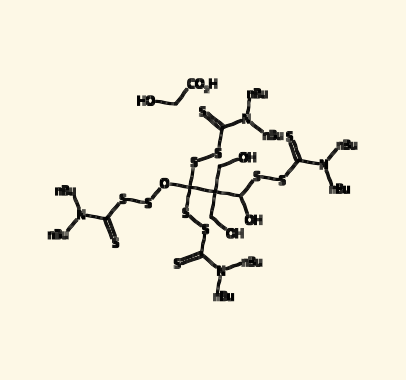 CCCCN(CCCC)C(=S)SSOC(SSC(=S)N(CCCC)CCCC)(SSC(=S)N(CCCC)CCCC)C(CO)(CO)C(O)SSC(=S)N(CCCC)CCCC.O=C(O)CO